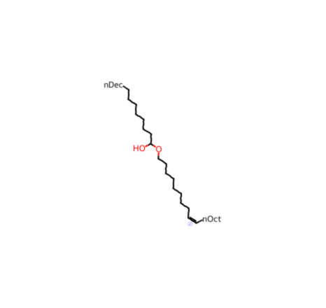 CCCCCCCC/C=C\CCCCCCCCOC(O)CCCCCCCCCCCCCCCCC